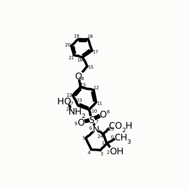 CC1(O)CCCN(S(=O)(=O)c2ccc(OCc3ccccc3)cc2)C1C(=O)O.NO